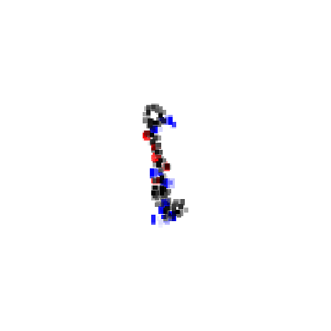 CCCCc1nc2c(N)nc3ccccc3c2n1CCCCNC(=O)CNC(=O)CCOCCOCCC(=O)NCC1CCCCCCC(N)C1